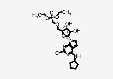 CCOP(=O)(COCC1O[C@@H](n2ccc3c(NC4CCCC4)nc(Cl)nc32)[C@H](O)[C@@H]1O)OCC